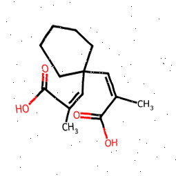 CC(=CC1(C=C(C)C(=O)O)CCCCC1)C(=O)O